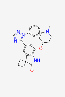 CN1CCC(Oc2cc(-c3ncnn3-c3ccccc3)cc3c2NC(=O)C32CCC2)CC1